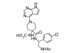 CC(=O)NCC(NC(=O)C1(NC(=O)O)CCN(c2ncnc3[nH]ccc23)CC1)c1ccc(Cl)cc1